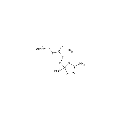 CC(=O)NCCC(C)CCC1(C(=O)O)CCC(N)C1.Cl